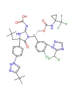 CC(C)(C)CC1(c2ccc(-n3cc([Si](C)(C)C)nn3)cc2)NC(=NC(=O)O)N([C@H](COC(=O)NC2(C(F)(F)F)CC2)c2ccc(Cl)c(-n3ncnc3C(F)F)c2)C1=O